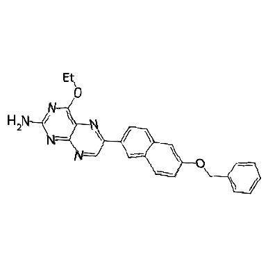 CCOc1nc(N)nc2ncc(-c3ccc4cc(OCc5ccccc5)ccc4c3)nc12